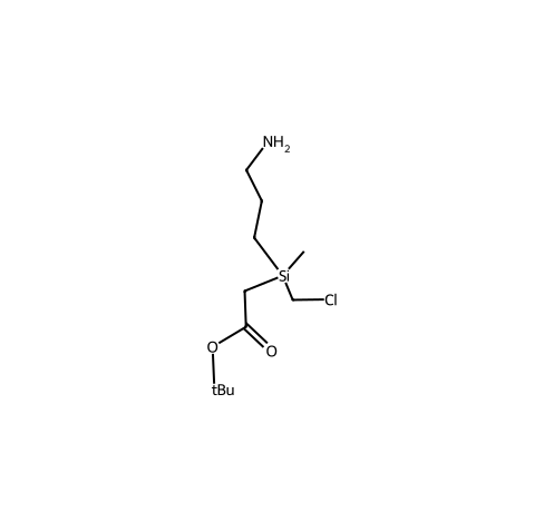 CC(C)(C)OC(=O)C[Si](C)(CCl)CCCN